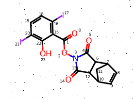 O=C(ON1C(=O)C2C3C=CC(C3)C2C1=O)c1c(I)ccc(I)c1O